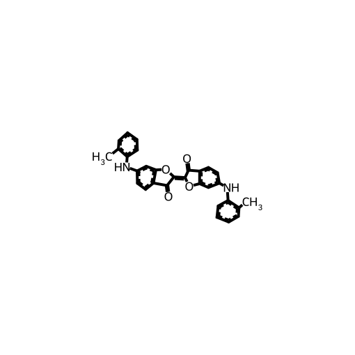 Cc1ccccc1Nc1ccc2c(c1)O/C(=C1/Oc3cc(Nc4ccccc4C)ccc3C1=O)C2=O